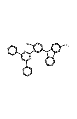 N#Cc1ccc(C2c3ccccc3-c3cc(C(F)(F)F)ccc32)cc1-c1nc(-c2ccccc2)nc(-c2ccccc2)n1